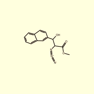 COC(=O)C(N=[N+]=[N-])C(O)c1ccc2ccccc2c1